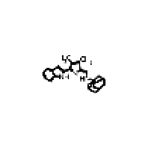 CC1=C(C)C(c2cc3ccccc3[nH]2)=NC1=CNC12CC3CC(CC(C3)C1)C2